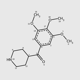 COc1cc(C(=O)C2CCNCC2)cc(OC)c1OC